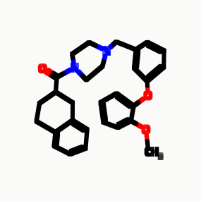 COc1ccccc1Oc1cccc(CN2CCN(C(=O)C3CCc4ccccc4C3)CC2)c1